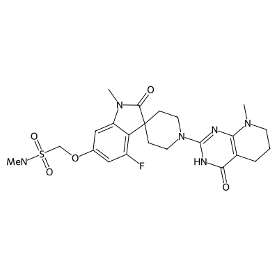 CNS(=O)(=O)COc1cc(F)c2c(c1)N(C)C(=O)C21CCN(c2nc3c(c(=O)[nH]2)CCCN3C)CC1